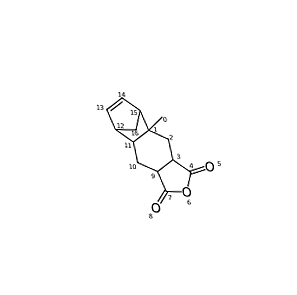 CC12CC3C(=O)OC(=O)C3CC1C1C=CC2C1